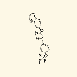 FC(F)(F)Oc1ccc(-c2cc(Oc3ccc4cccnc4c3)ncn2)cc1